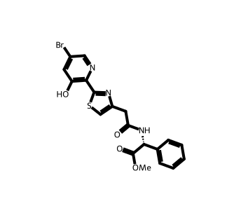 COC(=O)[C@H](NC(=O)Cc1csc(-c2ncc(Br)cc2O)n1)c1ccccc1